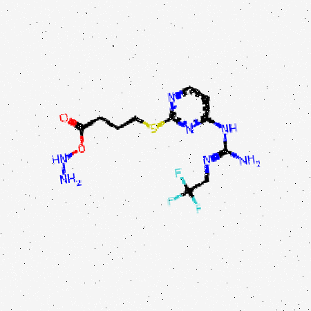 NNOC(=O)CCCSc1nccc(NC(N)=NCC(F)(F)F)n1